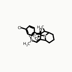 CC1C(=O)C(=CN(C)C)C2CCCC1N2S(=O)(=O)c1ccc(Cl)cc1